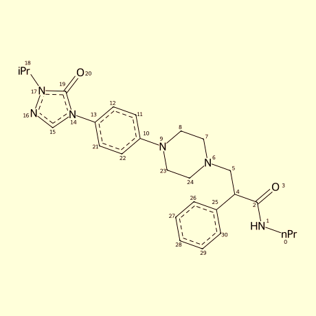 CCCNC(=O)C(CN1CCN(c2ccc(-n3cnn(C(C)C)c3=O)cc2)CC1)c1ccccc1